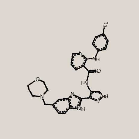 O=C(Nc1c[nH]nc1-c1nc2cc(CN3CCOCC3)ccc2[nH]1)c1cccnc1Nc1ccc(Cl)cc1